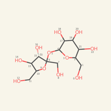 OCC1OC(OC2(CO)OC(CO)C(O)[C@@H]2O)C(O)C(O)C1O